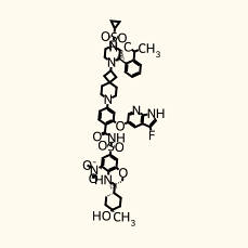 CC(C)c1ccccc1[C@@H]1CN(S(=O)(=O)C2CC2)CCN1C1CC2(CCN(c3ccc(C(=O)NS(=O)(=O)c4cc5c(c([N+](=O)[O-])c4)N[C@@H]([C@H]4CC[C@](C)(O)CC4)CO5)c(Oc4cnc5[nH]cc(F)c5c4)c3)CC2)C1